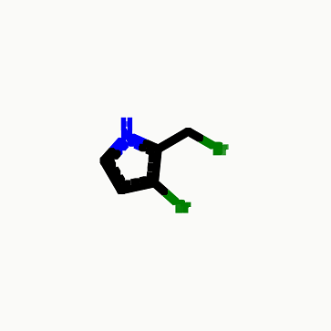 BrCc1[nH]ccc1Br